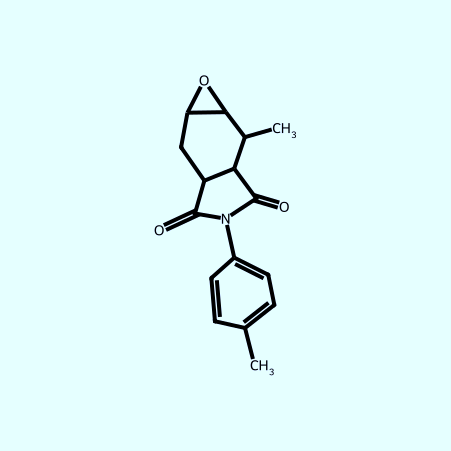 Cc1ccc(N2C(=O)C3CC4OC4C(C)C3C2=O)cc1